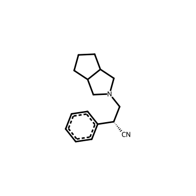 N#C[C@@H](CN1CC2CCCC2C1)c1ccccc1